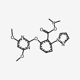 COc1cc(OC)nc(Oc2cccc(-n3cccn3)c2C(=O)ON(C)C)n1